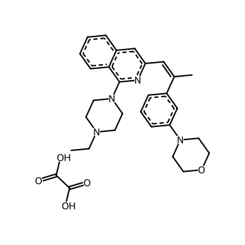 CCN1CCN(c2nc(C=C(C)c3cccc(N4CCOCC4)c3)cc3ccccc23)CC1.O=C(O)C(=O)O